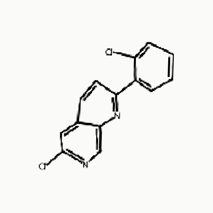 Clc1cc2ccc(-c3ccccc3Cl)nc2cn1